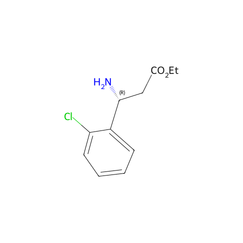 CCOC(=O)C[C@@H](N)c1ccccc1Cl